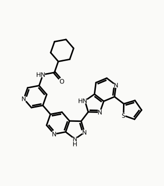 O=C(Nc1cncc(-c2cnc3[nH]nc(-c4nc5c(-c6cccs6)nccc5[nH]4)c3c2)c1)C1CCCCC1